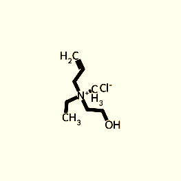 C=CC[N+](C)(CC)CCO.[Cl-]